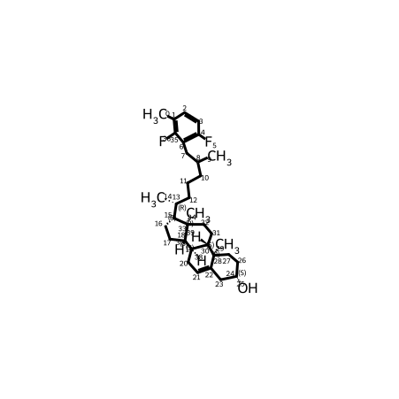 Cc1ccc(F)c(CC(C)CCC[C@@H](C)[C@H]2CC[C@H]3[C@@H]4CC=C5C[C@@H](O)CC[C@]5(C)[C@H]4CC[C@]23C)c1F